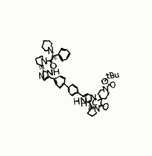 CC(C)(C)OC(=O)N1CCC(C)(C(=O)N2CCC[C@H]2c2ncc(-c3ccc(-c4ccc(-c5cnc([C@@H]6CCCN6C(=O)[C@@H](c6ccccc6)N6CCCCC6)[nH]5)cc4)cc3)[nH]2)CC1